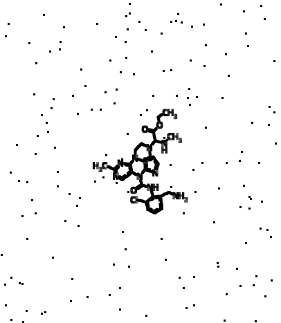 CCOC(=O)C(NC)N1CCN(c2nc(C)ncc2N(C(=O)Nc2c(Cl)cccc2CN)c2nccs2)CC1